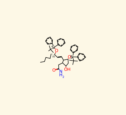 CCCCC[C@@H](C=CC1C(O[Si](c2ccccc2)(c2ccccc2)C(C)(C)C)CC(O)C1CC(N)=O)O[Si](c1ccccc1)(c1ccccc1)C(C)(C)C